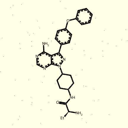 CC[C@H](N)C(=O)NC1CCC(n2nc(-c3ccc(Oc4ccccc4)cc3)c3c(N)ncnc32)CC1